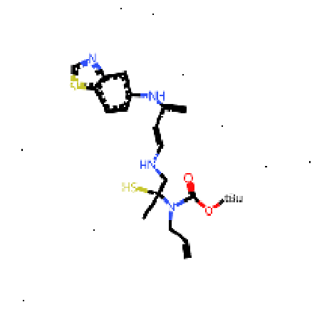 C=CCN(C(=O)OC(C)(C)C)C(C)(S)CN/C=C/C(=C)Nc1ccc2scnc2c1